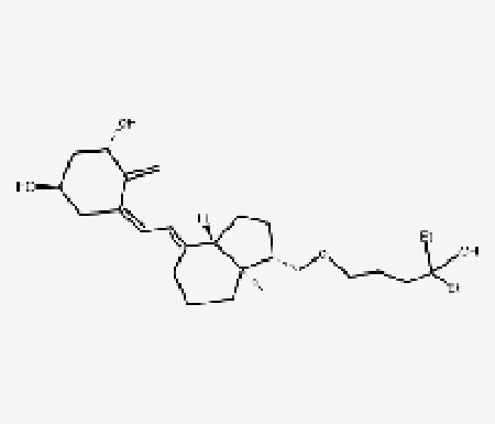 C=C1C(=CC=C2CCC[C@]3(C)[C@@H](COCCCC(O)(CC)CC)CC[C@@H]23)C[C@@H](O)C[C@@H]1O